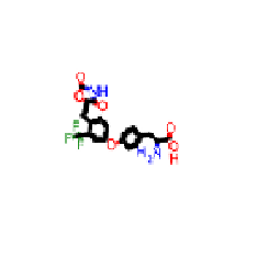 NC(Cc1ccc(Oc2ccc(C=C3OC(=O)NC3=O)c(C(F)(F)F)c2)cc1)C(=O)O